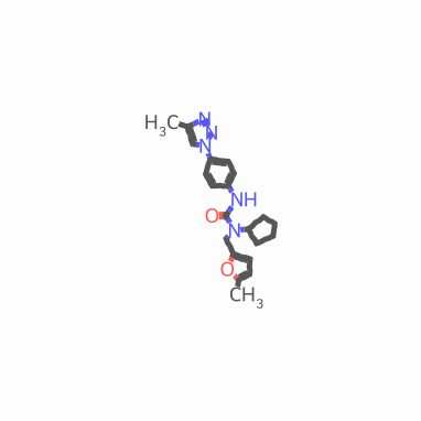 Cc1cn(-c2ccc(NC(=O)N(Cc3ccc(C)o3)C3CCCC3)cc2)nn1